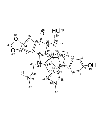 Cc1c(C(=O)N(c2ccc(O)cc2)c2cnn(C)c2)cc(-c2cc3c(cc2C(=O)N2Cc4ccccc4C[C@H]2C)OCO3)n1CCN(C)C.Cl